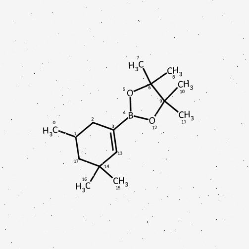 CC1CC(B2OC(C)(C)C(C)(C)O2)=CC(C)(C)C1